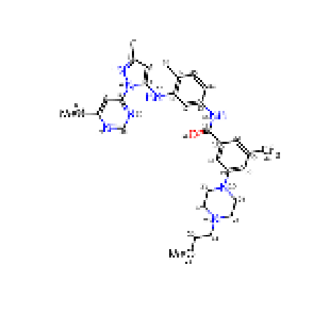 CNc1cc(-n2nc(C)cc2Nc2cc(NC(=O)c3cc(N4CCN(CCOC)CC4)cc(C(F)(F)F)c3)ccc2C)ncn1